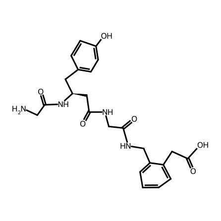 NCC(=O)N[C@H](CC(=O)NCC(=O)NCc1ccccc1CC(=O)O)Cc1ccc(O)cc1